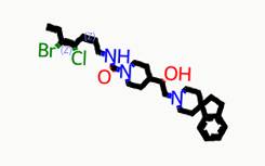 C=C/C(Br)=C(Cl)\C=C/CNC(=O)N1CCC(C(O)CN2CCC3(CCc4ccccc43)CC2)CC1